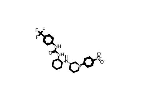 O=C(Nc1ccc(C(F)(F)F)cc1)N[C@@H]1CCCC[C@H]1N[C@H]1CCCN(c2ccc([N+](=O)[O-])cc2)C1